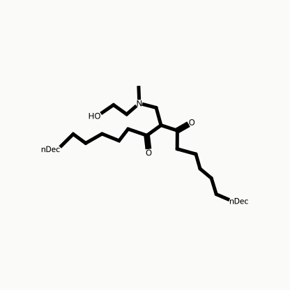 CCCCCCCCCCCCCCCC(=O)C(CN(C)CCO)C(=O)CCCCCCCCCCCCCCC